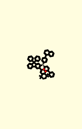 CC1(C)CCC(C)(C)c2cc(-c3cc4c(cc3N(c3ccc(-c5ccccc5)cc3)c3ccc(-c5cccc6ccccc56)cc3)C(c3ccccc3)(c3ccccc3)c3ccccc3-4)ccc21